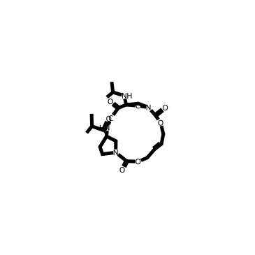 CC(C)NC12CN(C1)C(=O)OC/C=C/COC(=O)N1CC[C@](C(=O)C(C)C)(C1)NCC2=O